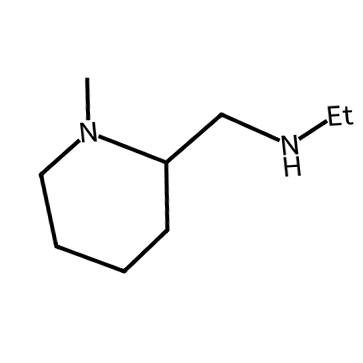 CCNCC1CCCCN1C